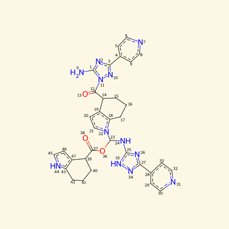 Nc1nc(-c2ccncc2)nn1C(=O)C1CCCc2c1ccn2C(Nc1nc(-c2ccncc2)n[nH]1)OC(=O)C1CCCc2[nH]ccc21